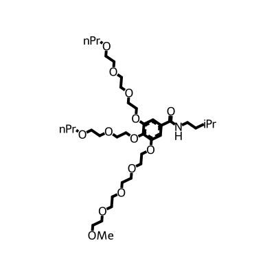 CCCOCCOCCOCCOc1cc(C(=O)NCCC(C)C)cc(OCCOCCOCCOCCOC)c1OCCOCCOCCC